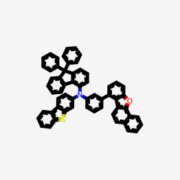 c1ccc(C2(c3ccccc3)c3ccccc3-c3c(N(c4cccc(-c5cccc6oc7c8ccccc8ccc7c56)c4)c4ccc5c(c4)sc4ccccc45)cccc32)cc1